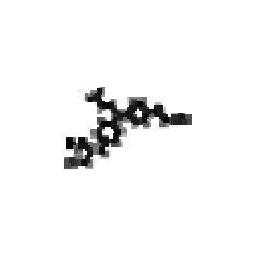 CC(C)=CCN(c1ccc(OCC(C)(C)C)cc1)C1CCN(CC(N)CC(C)C)CC1